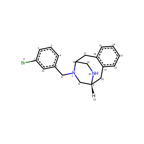 Brc1cccc(CN2C[C@H]3Cc4ccccc4CC2CN3)c1